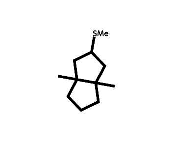 CSC1CC2(C)CCCC2(C)C1